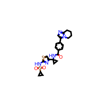 O=C(NC1(c2csc(NS(=O)(=O)C3CC3)n2)CC1)c1ccc(-c2cnc3n2CCCC3)cc1